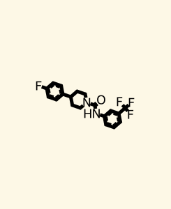 O=C(Nc1cccc(C(F)(F)F)c1)N1CCC(c2ccc(F)cc2)CC1